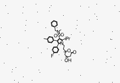 Cc1ccc(-c2c(S(=O)(=O)N(C)Cc3ccccc3)c(C(C)C)n(CC[C@@H]3C[C@@H](O)CC(=O)O3)c2-c2ccc(F)cc2)cc1